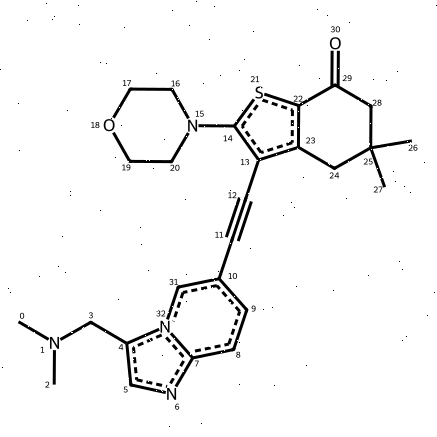 CN(C)Cc1cnc2ccc(C#Cc3c(N4CCOCC4)sc4c3CC(C)(C)CC4=O)cn12